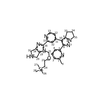 Cc1cccc(-c2nn3c(c2-c2ccnc(-c4nc5c(n4COCC[Si](C)(C)C)CNC5)c2)CCC3)n1